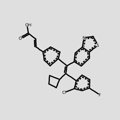 O=C(O)C=Cc1ccc(C(=C(c2ccc(F)cc2Cl)C2CCC2)c2ccc3scnc3c2)cc1